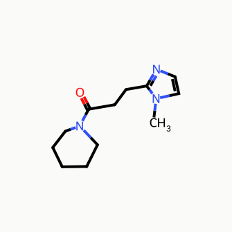 Cn1ccnc1CCC(=O)N1CCCCC1